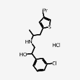 CC(Cc1cc(C(C)C)cs1)NCC(O)c1cccc(Cl)c1.Cl